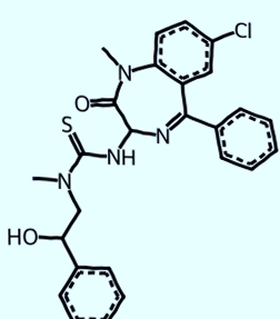 CN(CC(O)c1ccccc1)C(=S)NC1N=C(c2ccccc2)c2cc(Cl)ccc2N(C)C1=O